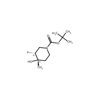 CC(C)(C)OC(=O)N1CC[C@](C)(O)[C@H](F)C1